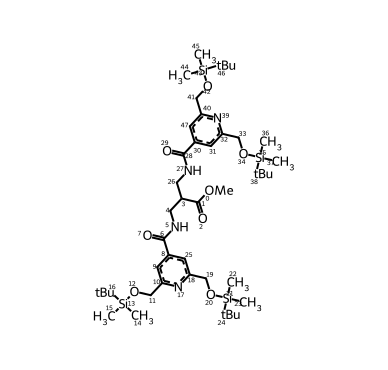 COC(=O)C(CNC(=O)c1cc(CO[Si](C)(C)C(C)(C)C)nc(CO[Si](C)(C)C(C)(C)C)c1)CNC(=O)c1cc(CO[Si](C)(C)C(C)(C)C)nc(CO[Si](C)(C)C(C)(C)C)c1